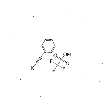 O=S(=O)(O)C(F)(F)F.[K][C]#Cc1ccccc1